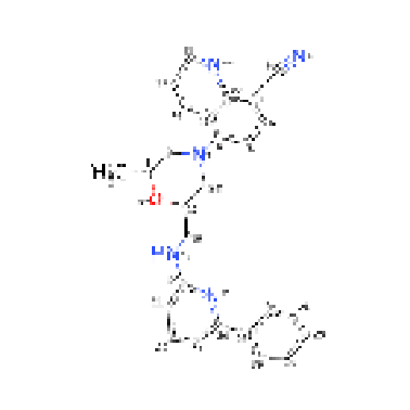 C[C@@H]1CN(c2ccc(C#N)c3ncccc23)C[C@@H](CNc2cccc(-c3ccccc3)n2)O1